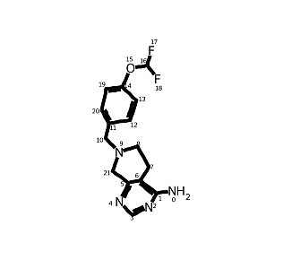 Nc1ncnc2c1CCN(Cc1ccc(OC(F)F)cc1)C2